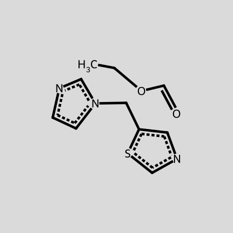 CCOC=O.c1cn(Cc2cncs2)cn1